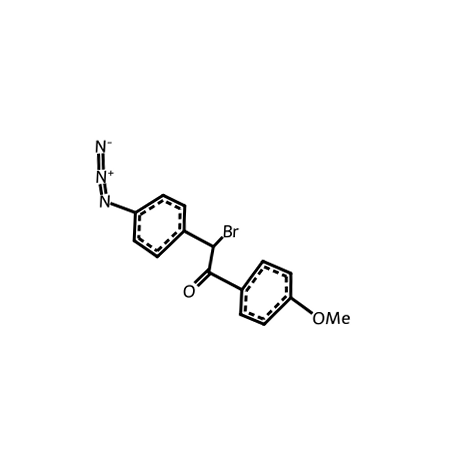 COc1ccc(C(=O)C(Br)c2ccc(N=[N+]=[N-])cc2)cc1